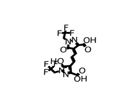 O=C(O)C1=NN(CC(F)(F)F)C(=O)C1=CC=Cc1c(C(=O)O)nn(CC(F)(F)F)c1O